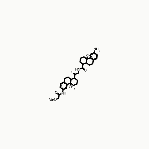 CNCC(=O)Nc1ccc2c(c1)C1(C)CCCC(C(=O)CNC(=O)C3CCCC4(C)c5cc(N)ccc5CCC34)C1CC2